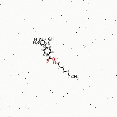 [CH2]CCCCCCOOC(=O)c1ccc([Si](C=C)(C=C)CC)cc1